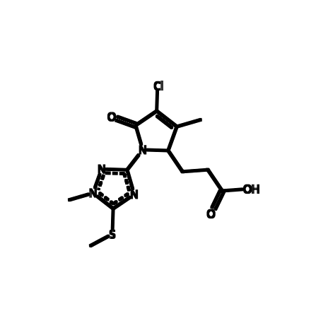 CSc1nc(N2C(=O)C(Cl)=C(C)C2CCC(=O)O)nn1C